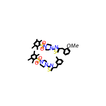 COc1ccccc1Cc1csc(N2CCN(S(=O)(=O)c3c(C)c(C)cc(C)c3C)CC2)n1.Cc1cccc(Cc2csc(N3CCN(S(=O)(=O)c4c(C)c(C)cc(C)c4C)CC3)n2)c1